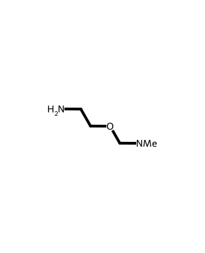 CNCOCCN